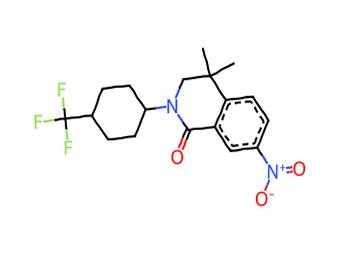 CC1(C)CN(C2CCC(C(F)(F)F)CC2)C(=O)c2cc([N+](=O)[O-])ccc21